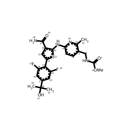 COC(=O)NCc1ccc(Nc2sc(-c3c(F)cc(C(C)(C)O)cc3F)cc2C(N)=O)nc1C